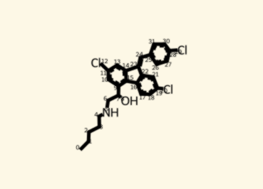 CCCCCNCC(O)c1cc(Cl)cc2c1-c1ccc(Cl)cc1C2=Cc1ccc(Cl)cc1